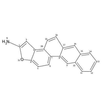 Nc1cc2c(ccc3c4cc5ccccc5cc4ccc23)o1